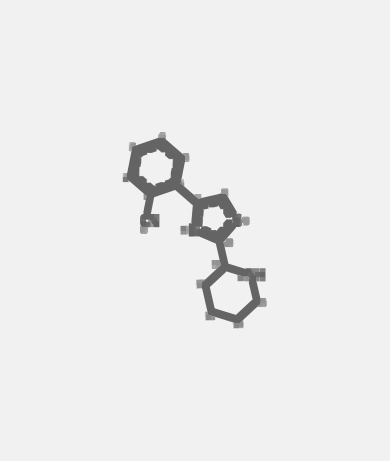 N#Cc1ccccc1-c1csc(C2CCCCN2)n1